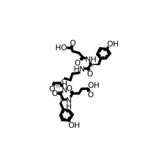 O=C[C@H](CCCCNC(=O)[C@H](Cc1ccc(O)cc1)NC(=O)CCC(=O)O)NC(=O)[C@H](Cc1ccc(O)cc1)NC(=O)CCC(=O)O